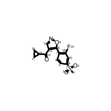 CS(=O)(=O)c1ccc(-c2oncc2C(=O)C2CC2)c(F)c1